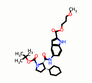 COCCCOC(=O)c1cc2cc(NC(=O)[C@@H]3[C@H](C4CCCCC4)CCN3C(=O)OC(C)(C)C)ccc2[nH]1